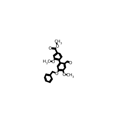 COC(=O)c1ccc(-c2cc(OCc3ccccc3)c(OC)cc2C=O)c(OC)c1